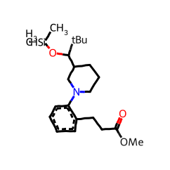 COC(=O)CCc1ccccc1N1CCCC(C(O[SiH](C)C)C(C)(C)C)C1